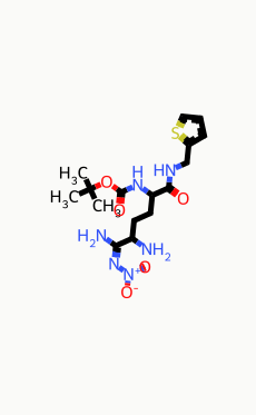 CC(C)(C)OC(=O)NC(CCC(N)/C(N)=N\[N+](=O)[O-])C(=O)NCc1cccs1